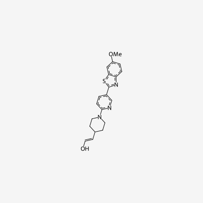 COc1ccc2nc(-c3ccc(N4CCC(C=CO)CC4)nc3)sc2c1